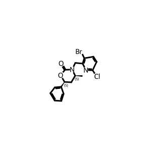 C[C@H]1C[C@@H](c2ccccc2)OC(=O)N1Cc1nc(Cl)ccc1Br